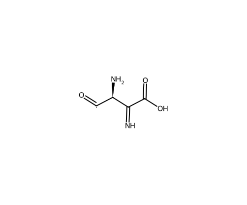 N=C(C(=O)O)[C@H](N)[C]=O